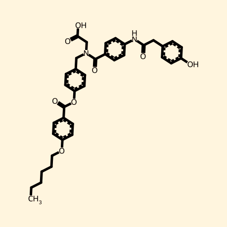 CCCCCCOc1ccc(C(=O)Oc2ccc(CN(CC(=O)O)C(=O)c3ccc(NC(=O)Cc4ccc(O)cc4)cc3)cc2)cc1